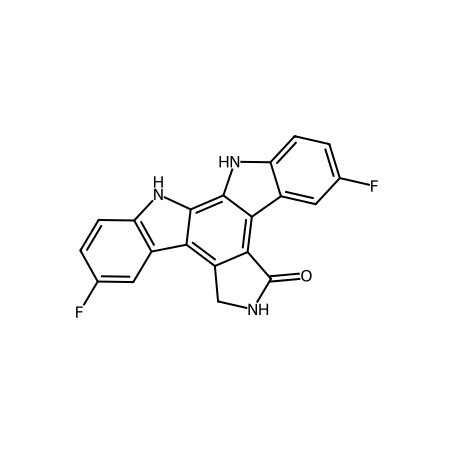 O=C1NCc2c1c1c3cc(F)ccc3[nH]c1c1[nH]c3ccc(F)cc3c21